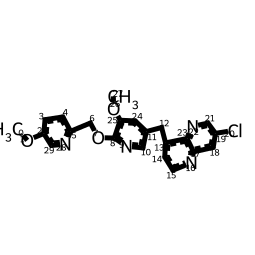 COc1ccc(COc2ncc(Cc3ccnc4cc(Cl)cnc34)cc2OC)nc1